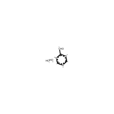 Cl.Cl.O=Cc1ncncn1